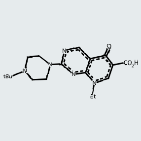 CCn1cc(C(=O)O)c(=O)c2cnc(N3CCN(C(C)(C)C)CC3)nc21